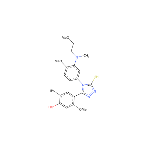 COCCN(C)c1cc(-n2c(S)nnc2-c2cc(C(C)C)c(O)cc2OC)ccc1OC